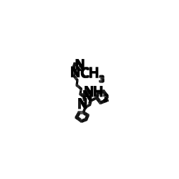 Cc1nccn1CCCC/C=C1/N=C(c2ccccc2)C=C(c2ccccc2)N1N